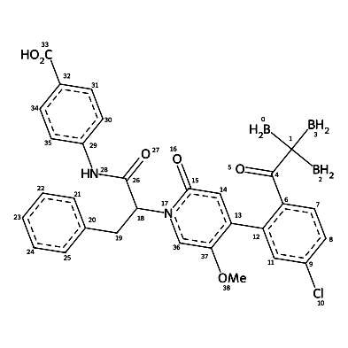 BC(B)(B)C(=O)c1ccc(Cl)cc1-c1cc(=O)n(C(Cc2ccccc2)C(=O)Nc2ccc(C(=O)O)cc2)cc1OC